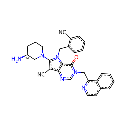 N#Cc1ccccc1Cn1c(N2CCC[C@H](N)C2)c(C#N)c2ncn(Cc3nccc4ccccc34)c(=O)c21